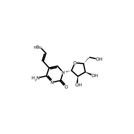 CCCC/C=C/c1cn([C@@H]2O[C@H](CO)[C@@H](O)[C@H]2O)c(=O)nc1N